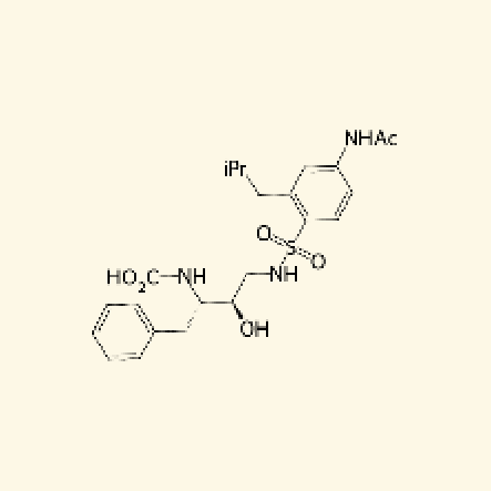 CC(=O)Nc1ccc(S(=O)(=O)NC[C@@H](O)[C@H](Cc2ccccc2)NC(=O)O)c(CC(C)C)c1